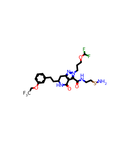 NSCCNC(=O)c1c2c(nn1CCCOC(F)F)CC(CCc1cccc(OCC(F)(F)F)c1)NC2=O